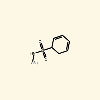 CCCCNS(=O)(=O)C1C=CC=CC1